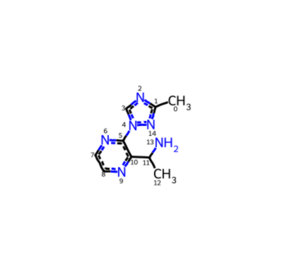 Cc1ncn(-c2nccnc2C(C)N)n1